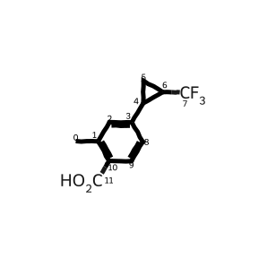 Cc1cc(C2CC2C(F)(F)F)ccc1C(=O)O